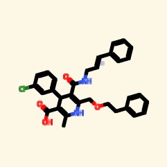 CC1=C(C(=O)O)C(c2cccc(Cl)c2)C(C(=O)NC/C=C/c2ccccc2)=C(COCCc2ccccc2)N1